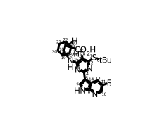 CC(C)(C)Sc1nc(-c2c[nH]c3ncc(F)cc23)nc(N[C@H]2C3CCC(CC3)[C@@H]2C(=O)O)c1F